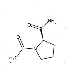 CC(=O)N1CCC[C@@H]1C(N)=O